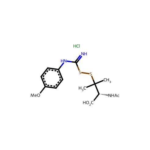 COc1ccc(NC(=N)SSC(C)(C)[C@H](NC(C)=O)C(=O)O)cc1.Cl